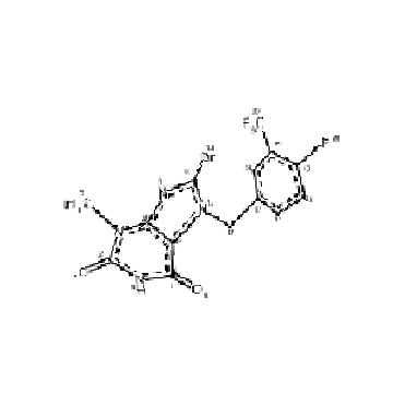 Cn1c(=O)[nH]c(=O)c2c1nc(Br)n2Cc1ccc(F)c(C(F)(F)F)c1